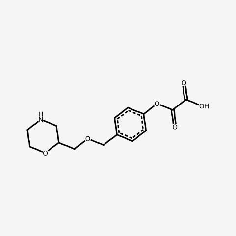 O=C(O)C(=O)Oc1ccc(COCC2CNCCO2)cc1